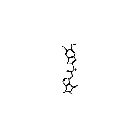 COc1cc2nc(NC(=O)Cn3cnc4c3C(=O)[C@H](C)N4C)oc2cc1Cl